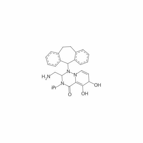 CC(C)N1C(=O)C2=C(O)C(O)C=CN2N(C2c3ccccc3CCc3ccccc32)C1CN